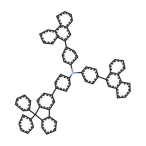 c1ccc(C2(c3ccccc3)c3ccccc3-c3cc(-c4ccc(N(c5ccc(-c6cc7ccccc7c7ccccc67)cc5)c5ccc(-c6cc7ccccc7c7ccccc67)cc5)cc4)ccc32)cc1